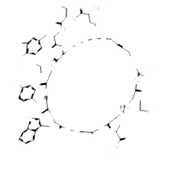 CC(=O)N[C@@H](CC(C)C)C(=O)N[C@H](C(=O)N[C@@H](Cc1ccc(F)c(F)c1)C(=O)N[C@]1(C)CCCCCC/C=C/CCC[C@@](C)(C=O)NC(=O)[C@H](CCC(C)C)NN[C@@H](CCC(N)=O)C(=O)CC(=O)[C@H](C)NCC(=O)[C@H](Cc2c[nH]c3ccccc23)NC(=O)[C@H](Cc2ccc(O)cc2)NC(=O)[C@H](CCC(=O)O)NC1=O)[C@@H](C)O